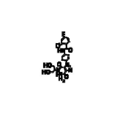 NC(=O)c1ncn(-c2ccc(NC(=O)c3ccc(F)cc3Cl)cc2)c1C(=O)NC(CO)CO